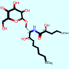 CCCCCCCCCCCCCCC[C@@H](O)[C@H](COC1OC(CO)C(O)C(O)C1O)NC(=O)[C@@H](O)CCCCCCCCCCCC